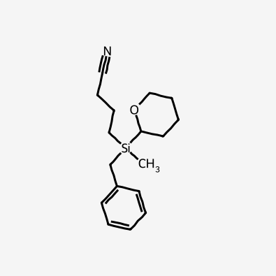 C[Si](CCCC#N)(Cc1ccccc1)C1CCCCO1